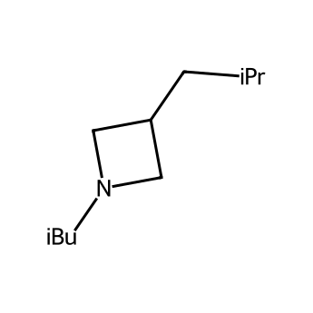 CCC(C)N1CC(CC(C)C)C1